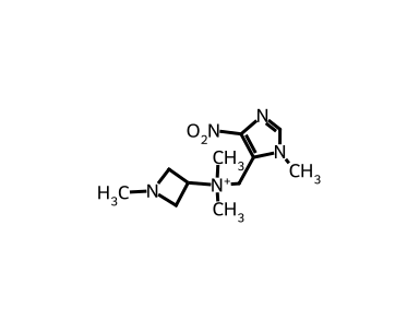 CN1CC([N+](C)(C)Cc2c([N+](=O)[O-])ncn2C)C1